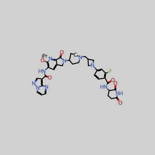 CC(C)Oc1nc2c(cc1NC(=O)c1cnn3cccnc13)CN(C1CCN(CC3CN(c4ccc(C(=O)NC5CCC(=O)NC5=O)c(F)c4)C3)CC1)C2=O